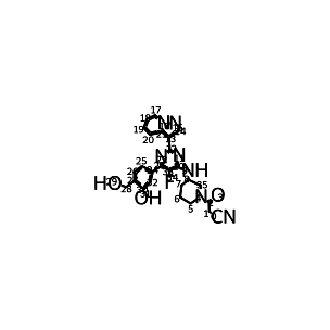 N#CCC(=O)N1CCCC(Nc2nc(-c3cnn4ccccc34)nc(-c3ccc(CO)c(O)c3)c2F)C1